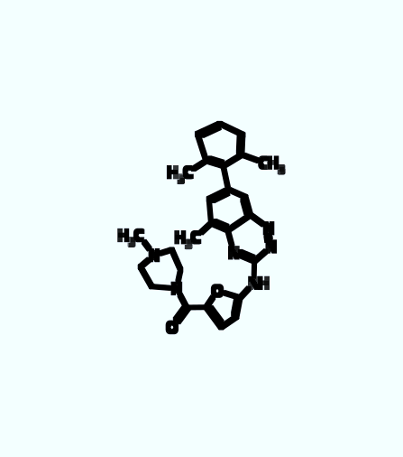 Cc1cccc(C)c1-c1cc(C)c2nc(Nc3ccc(C(=O)N4CCN(C)CC4)o3)nnc2c1